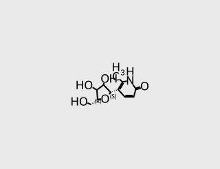 Cc1[nH]c(=O)ccc1[C@@H]1O[C@H](CO)C(O)C1O